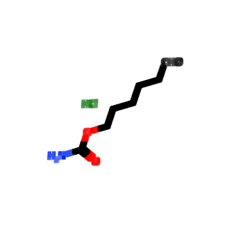 Cl.NC(=O)OCCCCCC=O